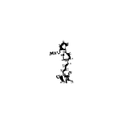 COc1ccccc1N1CCN(CCCCn2c(=O)cnn(C)c2=O)CC1